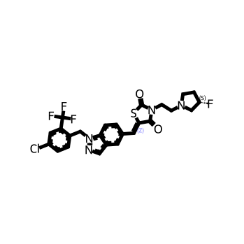 O=C1S/C(=C\c2ccc3c(cnn3Cc3ccc(Cl)cc3C(F)(F)F)c2)C(=O)N1CCN1CC[C@H](F)C1